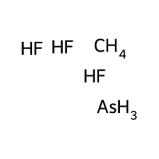 C.F.F.F.[AsH3]